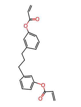 C=CC(=O)Oc1cccc(CCCc2cccc(OC(=O)C=C)c2)c1